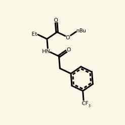 CCCCOC(=O)C(CC)NC(=O)Cc1cccc(C(F)(F)F)c1